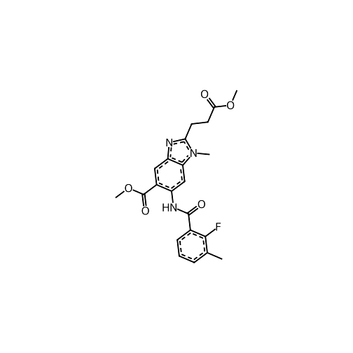 COC(=O)CCc1nc2cc(C(=O)OC)c(NC(=O)c3cccc(C)c3F)cc2n1C